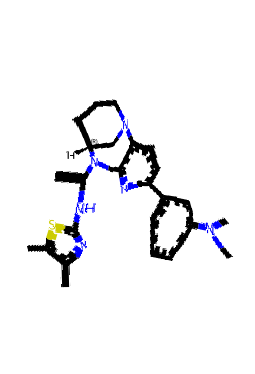 C=C(Nc1nc(C)c(C)s1)N1c2nc(-c3cccc(N(C)C)c3)ccc2N2CCC[C@@H]1C2